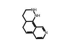 C1=c2ccncc2=C2NNCCC2C1